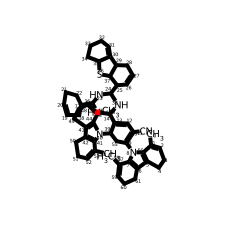 CC1=CCCc2c3c(n(C4=C(C#N)C=C(C5NC(C6CC=CCC6)NC(C6C=CCC7C8=CCCCC8SC76)N5)C(n5c6c(c7c5C(C)CCC7)CCC=C6C)C4)c21)C(C)=CCC3